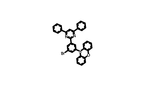 Brc1cc(-c2nc(-c3ccccc3)cc(-c3ccccc3)n2)cc(N2c3ccccc3Oc3ccccc32)c1